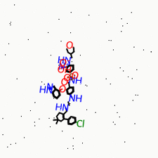 CC1(C)CCC(CNCCNc2ccc(C(=O)NS(=O)(=O)c3ccc(NCC4CCOCC4)c([N+](C)([O-])O)c3)c(Oc3cccc4[nH]ncc34)c2)=C(c2ccc(Cl)cc2)C1